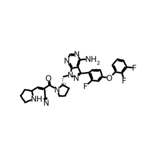 N#CC(=CC1CCCN1)C(=O)N1CCC[C@H]1Cn1nc(-c2ccc(Oc3cccc(F)c3F)cc2F)c2c(N)ncnc21